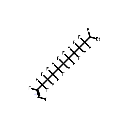 CCC(F)C(F)(F)C(F)(F)C(F)(F)C(F)(F)C(F)(F)C(F)(F)C(F)(F)C(F)(F)C(F)(F)/C(F)=[C]\F